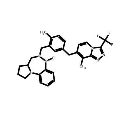 Cc1ccc(Cc2ccn3c(C(F)(F)F)nnc3c2C)cc1CN1CC2CCCN2c2ccccc2[S+]1[O-]